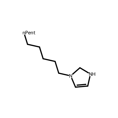 CCCCCCCCCCN1C=CNC1